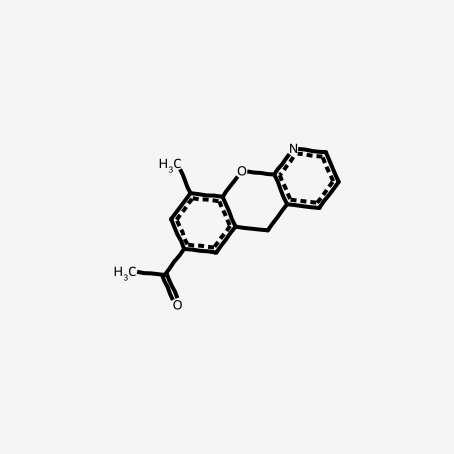 CC(=O)c1cc(C)c2c(c1)Cc1cccnc1O2